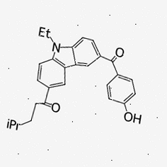 CCn1c2ccc(C(=O)CCC(C)C)cc2c2cc(C(=O)c3ccc(O)cc3)ccc21